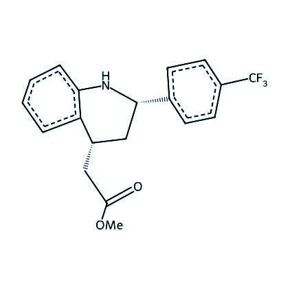 COC(=O)C[C@H]1C[C@@H](c2ccc(C(F)(F)F)cc2)Nc2ccccc21